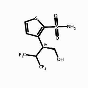 NS(=O)(=O)c1sccc1[C@@H](CO)C(C(F)(F)F)C(F)(F)F